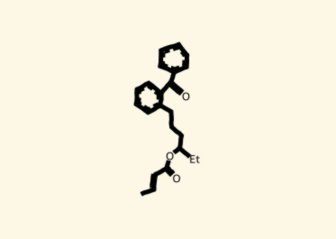 CC=CC(=O)OC(CC)CCCc1ccccc1C(=O)c1ccccc1